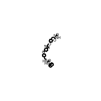 Cn1c(COc2ccc(CC3SC(=O)NC3=O)cc2)nc2ccc(Oc3ccc(CCNC(=O)NC45CC6CC(CC(C6)C4)C5)cc3)cc21